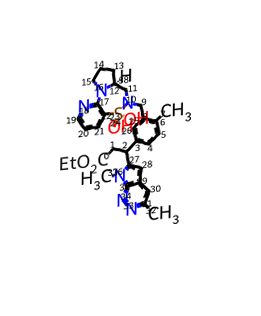 CCOC(=O)CC(c1ccc(C)c(CN2C[C@@H]3CCCN3c3ncccc3S2(O)O)c1)c1cc2cc(C)nnc2n1C